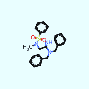 CN(CC(=N)N(Cc1ccccc1)Cc1ccccc1)S(=O)(=O)c1ccccc1